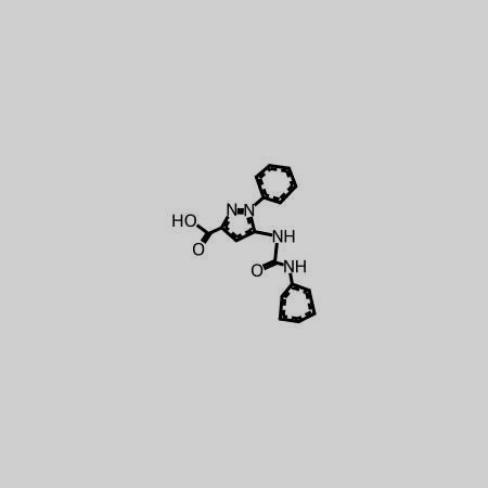 O=C(Nc1ccccc1)Nc1cc(C(=O)O)nn1-c1ccccc1